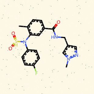 Cc1ccc(C(=O)NCc2cnn(C)c2)cc1N(c1ccc(F)cc1)[SH](=O)=O